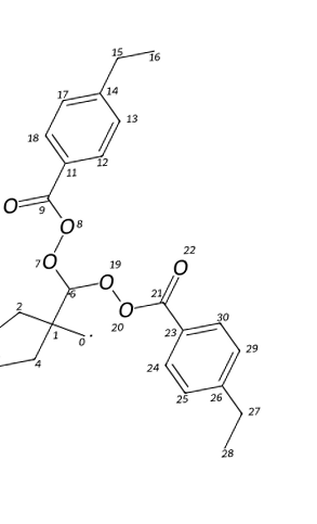 [CH2]C(CC)(CC)[C](OOC(=O)c1ccc(CC)cc1)OOC(=O)c1ccc(CC)cc1